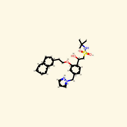 CC(C)(C)NS(=O)(=O)CC(O)c1ccc(Cn2cccn2)cc1OCCc1ccc2ccccc2c1